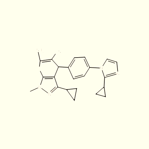 Cn1nc(C2CC2)c2c1OC(N)=C(C#N)C2c1ccc(-n2ccnc2C2CC2)cc1